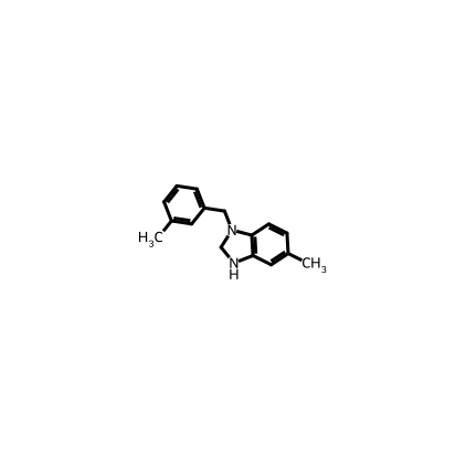 Cc1cccc(CN2CNc3cc(C)ccc32)c1